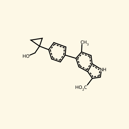 Cc1cc2[nH]cc(C(=O)O)c2cc1-c1ccc(C2(CO)CC2)cc1